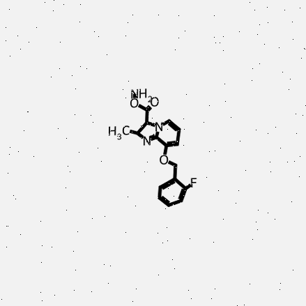 CC1N=C2C(OCc3ccccc3F)=CC=CN2C1C(=O)ON